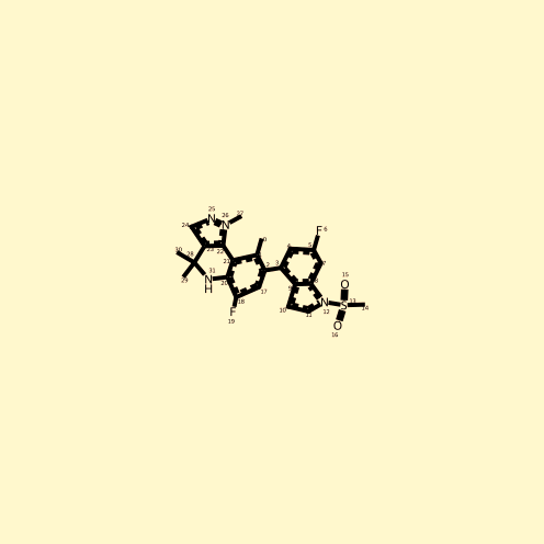 Cc1c(-c2cc(F)cc3c2ccn3S(C)(=O)=O)cc(F)c2c1-c1c(cnn1C)C(C)(C)N2